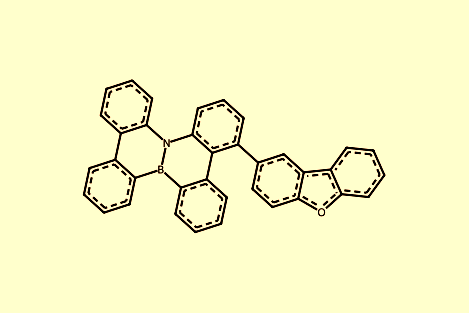 c1ccc2c(c1)B1c3ccccc3-c3c(-c4ccc5oc6ccccc6c5c4)cccc3N1c1ccccc1-2